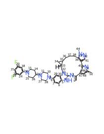 C=C1/N=C2\Nc3ccc(N4CCN(C5CCN(c6cc(F)cc(F)c6)CC5)CC4)cc3N2C[C@@H]2CC2CCCc2c(cnn2C)-c2cc1cc(C)n2